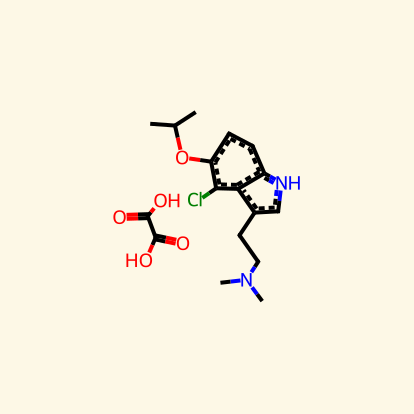 CC(C)Oc1ccc2[nH]cc(CCN(C)C)c2c1Cl.O=C(O)C(=O)O